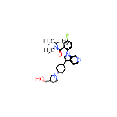 CC(C)N(C)C(=O)c1cc(F)ccc1-n1cc(C2CCC(N3CCC(CO)C3)CC2)c2ccncc21